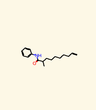 C=CCCCCCCC(C)C(=O)Nc1ccccc1